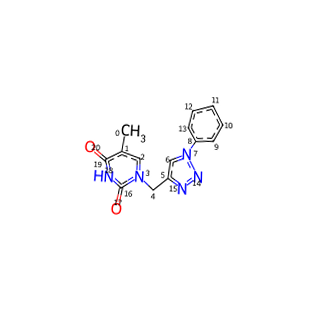 Cc1cn(Cc2cn(-c3ccccc3)nn2)c(=O)[nH]c1=O